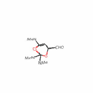 CNC1=CC(C=O)OC(NC)(NC)O1